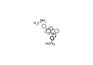 CC(N)[C@H]1CC[C@H](C(=O)N2CC[C@H](C3CCCCC3)[C@H]2C(=O)Nc2ccc(C(=O)O)cc2F)CC1